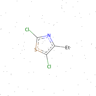 C[CH]c1nc(Cl)sc1Cl